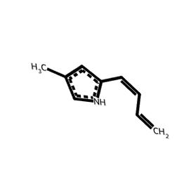 C=C/C=C\c1cc(C)c[nH]1